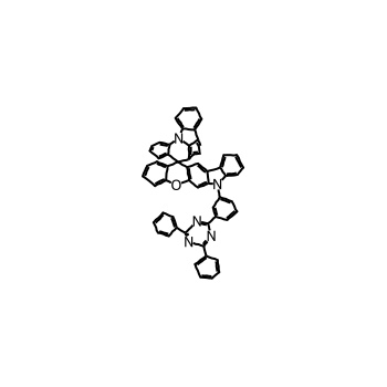 c1ccc(-c2nc(-c3ccccc3)nc(-c3cccc(-n4c5ccccc5c5cc6c(cc54)Oc4ccccc4C64c5ccccc5-n5c6ccccc6c6cccc4c65)c3)n2)cc1